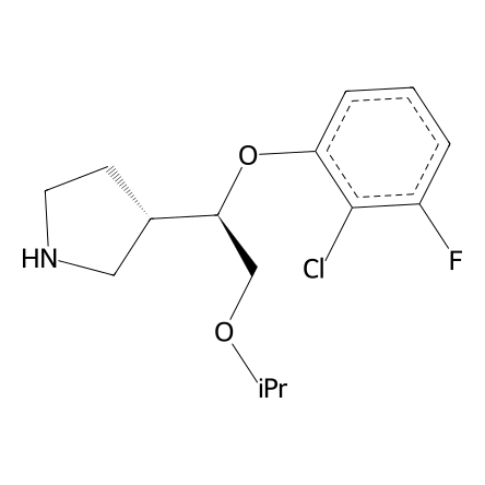 CC(C)OC[C@H](Oc1cccc(F)c1Cl)[C@H]1CCNC1